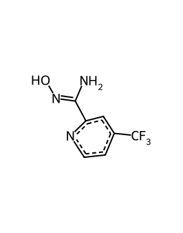 NC(=NO)c1cc(C(F)(F)F)ccn1